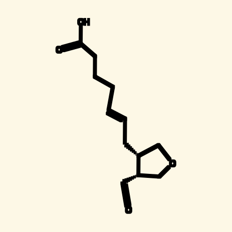 O=C[C@H]1COC[C@H]1CC=CCCCC(=O)O